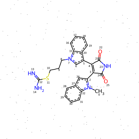 Cn1c(C2=C(c3cn(CCCSC(=N)N)c4ccccc34)C(=O)NC2=O)cc2ccccc21